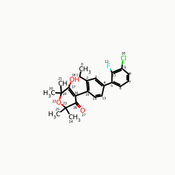 CCc1cc(-c2cccc(Cl)c2F)ccc1C1=C(O)C(C)(C)OC(C)(C)C1=O